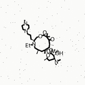 CCN1C[C@H](C)C[C@@](C)(OC)[C@H](O[C@@H]2O[C@H](C)C[C@H](N(C)C)[C@H]2O)[C@@H](C)C(=O)C(C)(C)C(=O)OC[C@@H]1CCCN1CCN(C)CC1